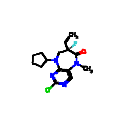 C=C[C@]1(F)CN(C2CCCC2)c2nc(Cl)ncc2N(C)C1=O